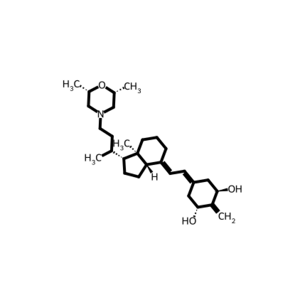 C=C1[C@H](O)CC(=CC=C2CCC[C@]3(C)[C@@H](C(C)CCN4C[C@@H](C)O[C@@H](C)C4)CC[C@@H]23)C[C@H]1O